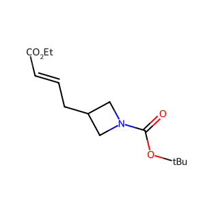 CCOC(=O)/C=C/CC1CN(C(=O)OC(C)(C)C)C1